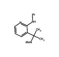 CNC(C)(C)c1cccnc1NC(C)C